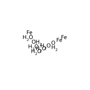 O.O.O.O.O.O.O.[Fe].[Fe].[Fe]